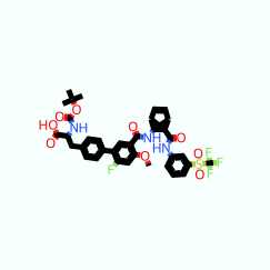 COc1cc(F)c(-c2ccc(CC(NC(=O)OC(C)(C)C)C(=O)O)cc2)cc1C(=O)NC1C2C=CC(C2)C1C(=O)Nc1cccc(S(=O)(=O)C(F)(F)F)c1